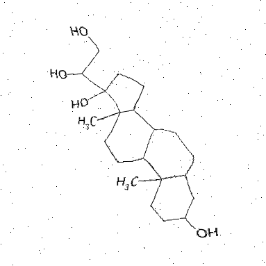 CC12CCC(O)CC1CCC1C2CCC2(C)C1CCC2(O)C(O)CO